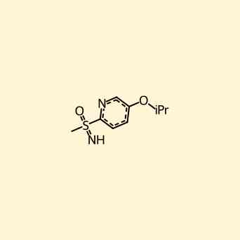 CC(C)Oc1ccc(S(C)(=N)=O)nc1